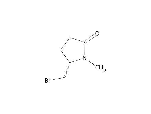 CN1C(=O)CC[C@H]1CBr